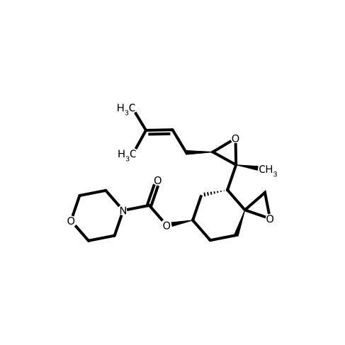 CC(C)=CC[C@H]1O[C@]1(C)[C@H]1C[C@H](OC(=O)N2CCOCC2)CC[C@]12CO2